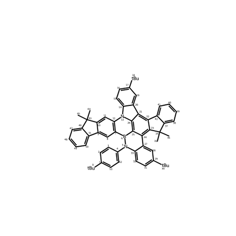 CC(C)(C)c1ccc(N2B3c4cc5c(cc4-n4c6ccc(C(C)(C)C)cc6c6c7c(c(c3c64)-c3cc(C(C)(C)C)ccc32)C(C)(C)c2ccccc2-7)C(C)(C)c2ccccc2-5)cc1